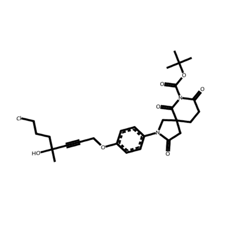 CC(O)(C#CCOc1ccc(N2CC3(CCC(=O)N(C(=O)OC(C)(C)C)C3=O)CC2=O)cc1)CCCCl